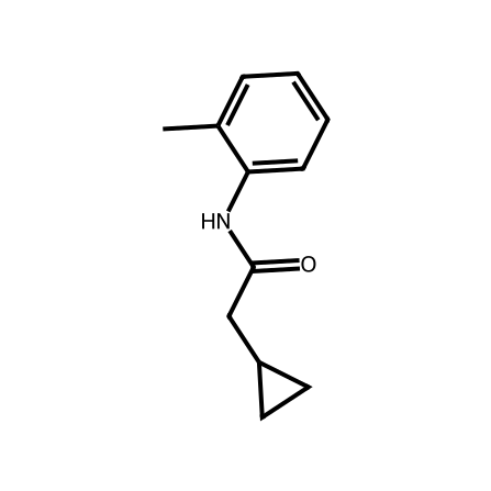 Cc1ccccc1NC(=O)CC1CC1